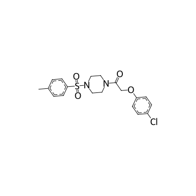 Cc1ccc(S(=O)(=O)N2CCN(C(=O)COc3ccc(Cl)cc3)CC2)cc1